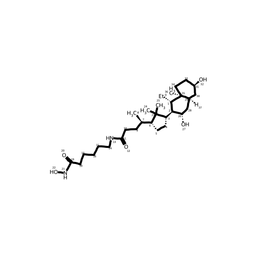 CC[C@H]1[C@H]([C@@H]2CC[C@H]([C@H](C)CCC(=O)NCCCCCC(=O)NO)C2(C)C)[C@@H](O)C[C@@H]2C[C@H](O)CC[C@@]21C